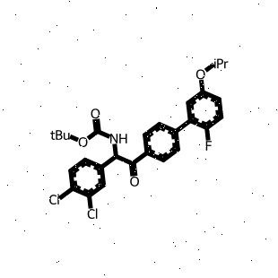 CC(C)Oc1ccc(F)c(-c2ccc(C(=O)C(NC(=O)OC(C)(C)C)c3ccc(Cl)c(Cl)c3)cc2)c1